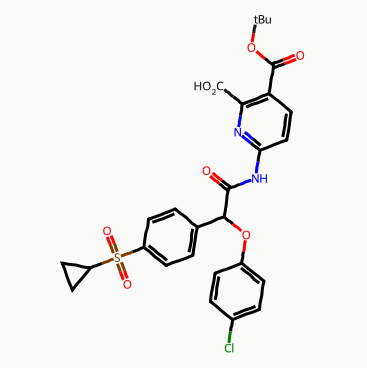 CC(C)(C)OC(=O)c1ccc(NC(=O)C(Oc2ccc(Cl)cc2)c2ccc(S(=O)(=O)C3CC3)cc2)nc1C(=O)O